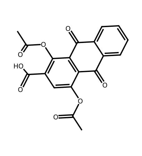 CC(=O)Oc1cc(C(=O)O)c(OC(C)=O)c2c1C(=O)c1ccccc1C2=O